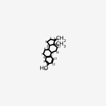 C=C1CCC2C3CCc4cc(O)ccc4C3CC[C@]12C